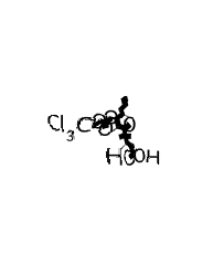 C=CC[C@H](C)[C@H](OC(=O)OCC(Cl)(Cl)Cl)[C@@H](C)C(=O)C(C)(C)[C@@H](C)CC(O)O